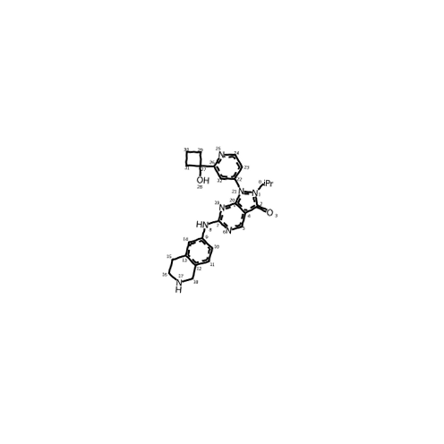 CC(C)n1c(=O)c2cnc(Nc3ccc4c(c3)CCNC4)nc2n1-c1ccnc(C2(O)CCC2)c1